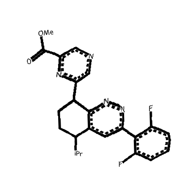 COC(=O)c1cncc(C2CCC(C(C)C)c3cc(-c4c(F)cccc4F)nnc32)n1